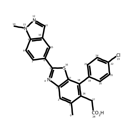 Cc1cc2nc(-c3ccc4c(cnn4C)c3)sc2c(-c2ccc(Cl)cc2)c1CC(=O)O